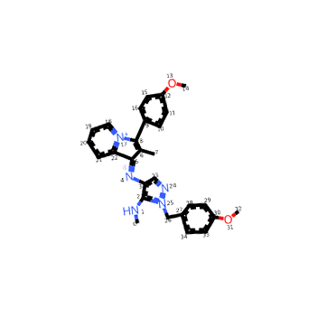 CNc1c(/N=C2\C(C)=C(c3ccc(OC)cc3)[n+]3ccccc32)cnn1Cc1ccc(OC)cc1